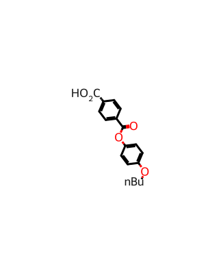 CCCCOc1ccc(OC(=O)c2ccc(C(=O)O)cc2)cc1